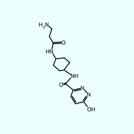 NCCC(=O)NC1CCC(NC(=O)c2ccc(O)nn2)CC1